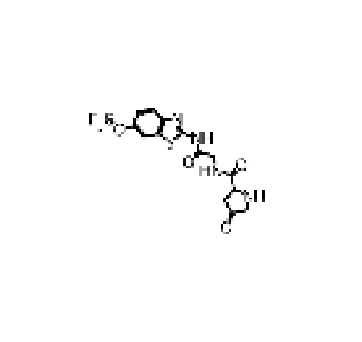 O=C1CN[C@H](C(=O)NCC(=O)Nc2nc3ccc(OC(F)(F)F)cc3s2)C1